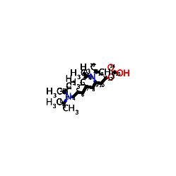 CC(C)N(CCCCCC(CCOC(=O)O)N(C(C)C)C(C)C)C(C)C